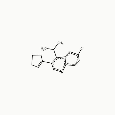 CC(C)c1c(C2=CCCC2)cnc2ccc(Cl)cc12